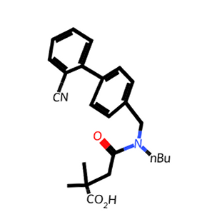 CCCCN(Cc1ccc(-c2ccccc2C#N)cc1)C(=O)CC(C)(C)C(=O)O